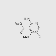 COC(=S)c1c(N)ncc(Cl)c1OC